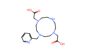 O=C(O)CN1CCNCCN(CC(=O)O)CCN(Cc2ccccn2)CC1